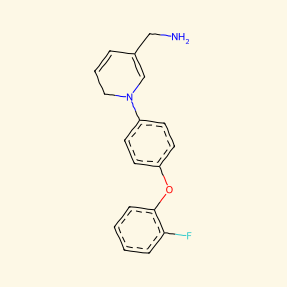 NCC1=CN(c2ccc(Oc3ccccc3F)cc2)CC=C1